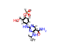 CC(C)C(C)Nc1nc(Nc2ccc(OS(C)(=O)=O)c(CO)c2)ncc1C(N)=O